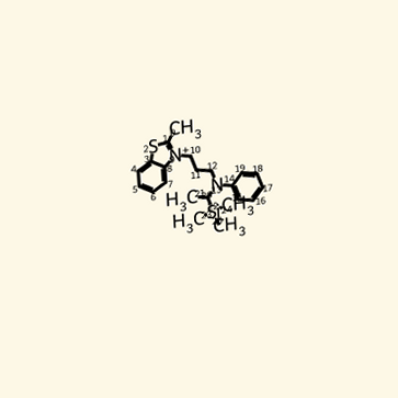 Cc1sc2ccccc2[n+]1CCCN(c1ccccc1)C(C)[Si](C)(C)C